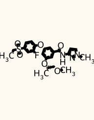 CCS(=O)(=O)c1ccc(Oc2cc(O[C@@H](C)COC)cc(C(=O)Nc3ccn(C)n3)c2)c(F)c1